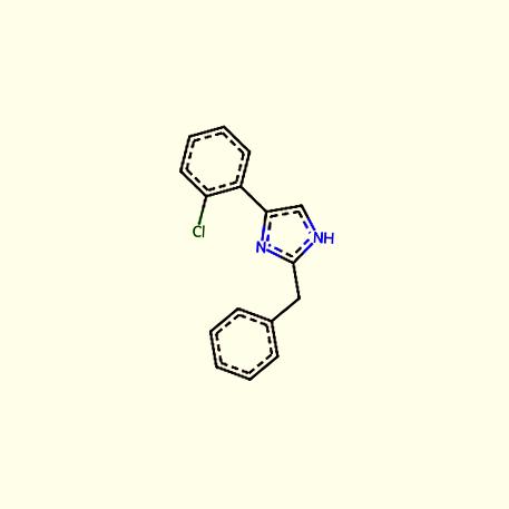 Clc1ccccc1-c1c[nH]c(Cc2ccccc2)n1